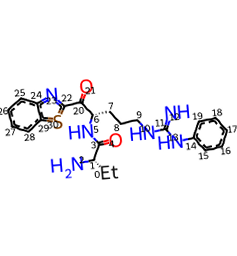 CC[C@H](N)C(=O)N[C@@H](CCCNC(=N)Nc1ccccc1)C(=O)c1nc2ccccc2s1